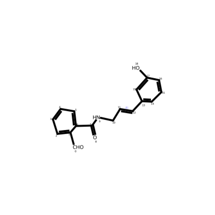 O=Cc1ccccc1C(=O)NC/C=C/c1cccc(O)c1